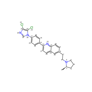 C[C@@H]1CCCN1CCc1ccc2nc(-c3ccc(-n4cnc(Cl)c4Cl)cc3)ccc2c1